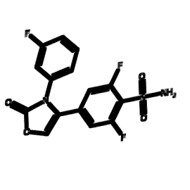 NS(=O)(=O)c1c(F)cc(-c2coc(=O)n2-c2cccc(F)c2)cc1F